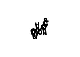 CN(C)CC12CC1N[C@H](C(=O)Nc1cccc(Br)n1)C2